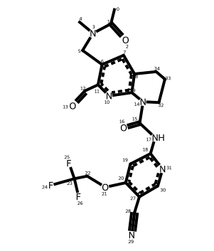 CC(=O)N(C)Cc1cc2c(nc1C=O)N(C(=O)Nc1cc(OCC(F)(F)F)c(C#N)cn1)CCC2